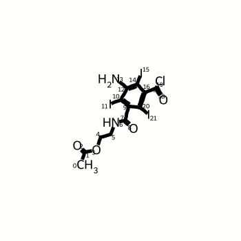 CC(=O)OCCNC(=O)c1c(I)c(N)c(I)c(C(=O)Cl)c1I